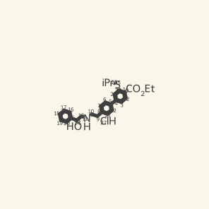 CCOC(=O)c1ccc(-c2ccc(CCNC[C@@H](O)c3ccccc3)cc2)cc1SC(C)C.Cl